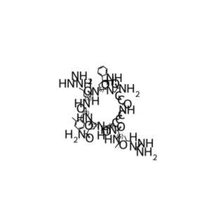 CC(=O)N[C@@H](CCCNC(=N)N)C(=O)N[C@H]1CCCNC(=O)CCC(C(N)=O)NC(=O)[C@H](Cc2c[nH]c3ccccc23)NC(=O)[C@H](CCCNC(=N)N)NC(=O)[C@@H](Cc2ccccc2C)NC(=O)[C@H](CCC(N)=O)NC1=O